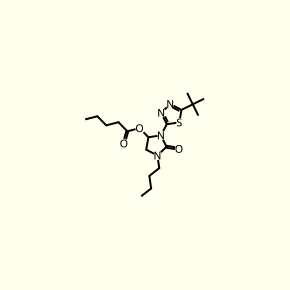 CCCCC(=O)OC1CN(CCCC)C(=O)N1c1nnc(C(C)(C)C)s1